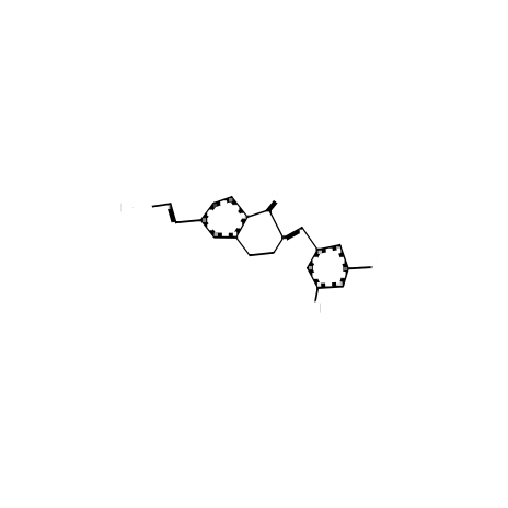 O=C(O)/C=C/c1ccc2c(c1)CC/C(=C\c1cc(C(F)(F)F)cc(C(F)(F)F)c1)C2=O